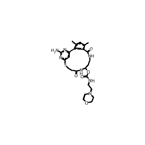 Cc1cc(C)c2cc1C(=O)NCCC(OC(=O)NCCN1CCOCC1)NC(=O)CCSc1cc-2nc(N)n1